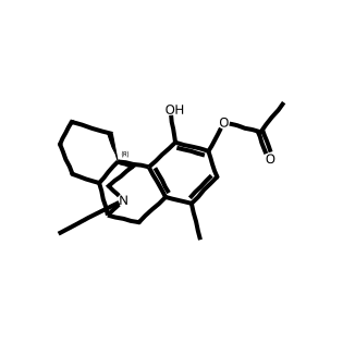 CC(=O)Oc1cc(C)c2c(c1O)[C@@]13CCCCC1C(C2)N(C)CC3